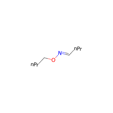 CCCC=NOCCCC